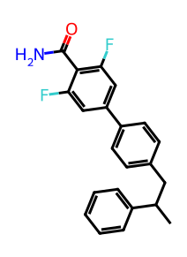 CC(Cc1ccc(-c2cc(F)c(C(N)=O)c(F)c2)cc1)c1ccccc1